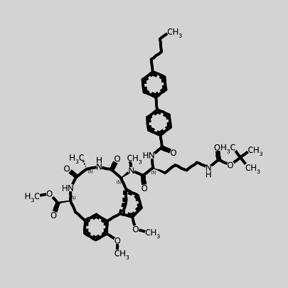 CCCCc1ccc(-c2ccc(C(=O)N[C@@H](CCCCNC(=O)OC(C)(C)C)C(=O)N(C)[C@@H]3C(=O)N[C@@H](C)C(=O)N[C@H](C(=O)OC)Cc4ccc(OC)c(c4)-c4cc3ccc4OC)cc2)cc1